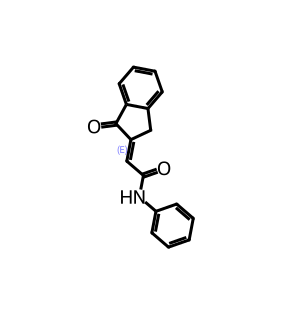 O=C(/C=C1\Cc2ccccc2C1=O)Nc1ccccc1